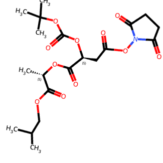 CC(C)COC(=O)[C@H](C)OC(=O)[C@H](CC(=O)ON1C(=O)CCC1=O)OC(=O)OC(C)(C)C